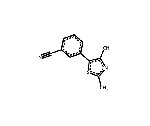 Cc1nc(C)c(-c2cccc(C#N)c2)s1